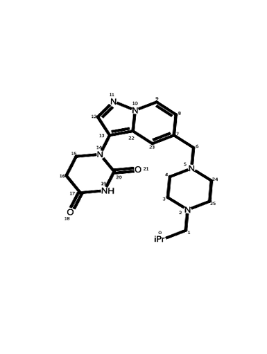 CC(C)CN1CCN(Cc2ccn3ncc(N4CCC(=O)NC4=O)c3c2)CC1